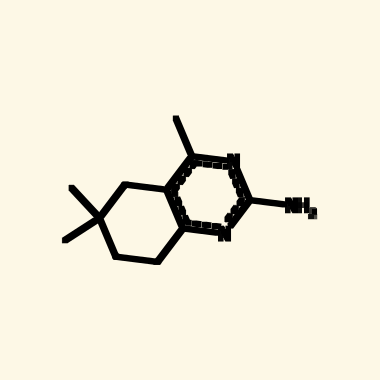 Cc1nc(N)nc2c1CC(C)(C)CC2